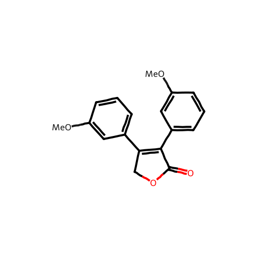 COc1cccc(C2=C(c3cccc(OC)c3)C(=O)OC2)c1